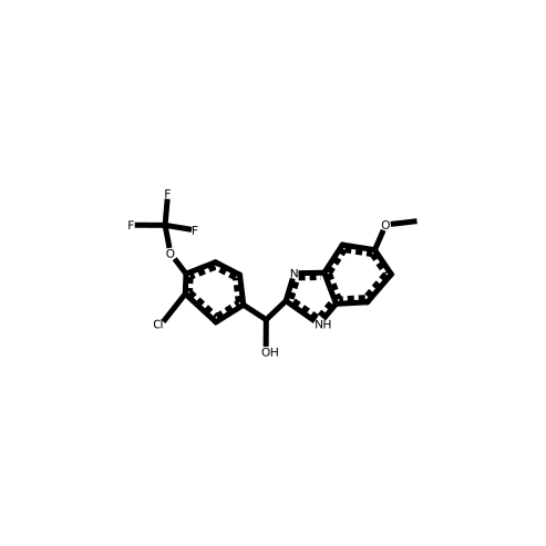 COc1ccc2[nH]c(C(O)c3ccc(OC(F)(F)F)c(Cl)c3)nc2c1